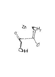 C=C(Cl)C(=O)O.[Zn]